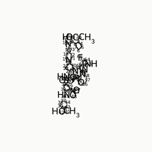 CC(C)c1ccccc1[C@@H]1COCCN1C1CC2(CCN(c3ccc(C(=O)NS(=O)(=O)c4ccc(NC[C@H]5CC[C@](C)(O)CC5)c([N+](=O)[O-])c4)c(N4C[C@H]5COCCCN5c5nc6[nH]cc(F)c6cc54)c3)CC2)C1